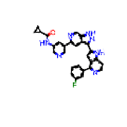 O=C(Nc1cncc(-c2cc3c(-c4cc5c(-c6cccc(F)c6)nccc5[nH]4)n[nH]c3cn2)c1)C1CC1